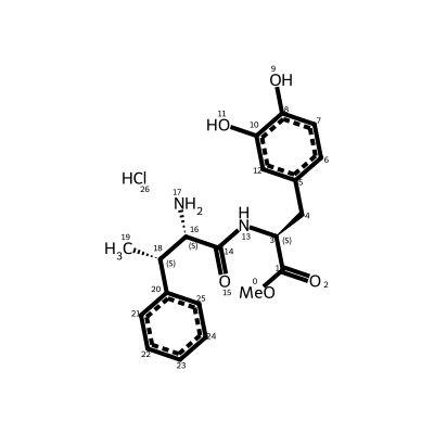 COC(=O)[C@H](Cc1ccc(O)c(O)c1)NC(=O)[C@@H](N)[C@@H](C)c1ccccc1.Cl